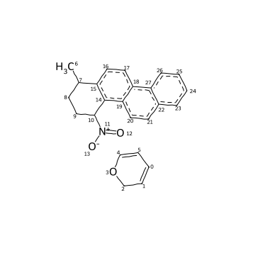 C1=CCOC=C1.CC1CCC([N+](=O)[O-])c2c1ccc1c2ccc2ccccc21